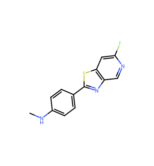 CNc1ccc(-c2nc3cnc(F)cc3s2)cc1